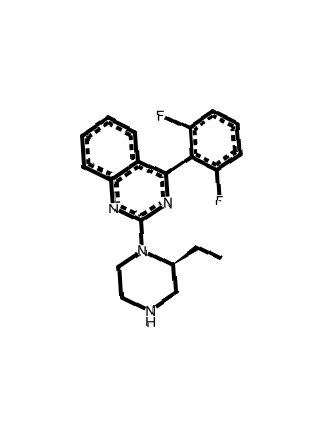 CC[C@H]1CNCCN1c1nc(-c2c(F)cccc2F)c2ccccc2n1